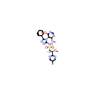 COc1ncnc(O)c1-n1c(NS(=O)(=O)[C@@H](C)C(OC)c2ncc(C)cn2)nnc1-c1c#cccc1